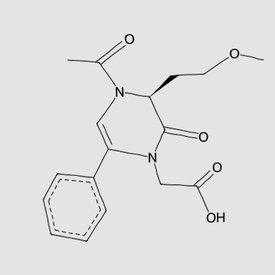 COCC[C@H]1C(=O)N(CC(=O)O)C(c2ccccc2)=CN1C(C)=O